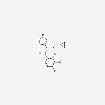 O=C(c1ccc(Cl)c(Cl)c1Cl)N(CCC1CC1)C1CCNC1